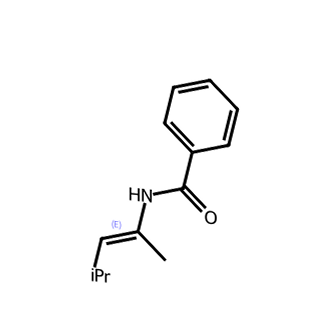 C/C(=C\C(C)C)NC(=O)c1ccccc1